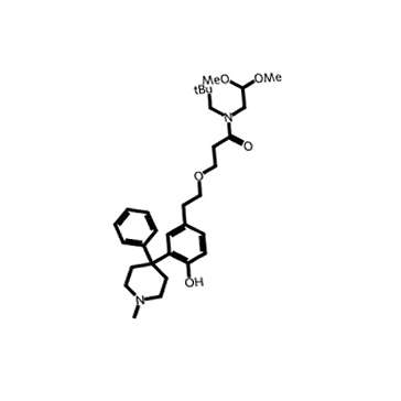 COC(CN(CC(C)(C)C)C(=O)CCOCCc1ccc(O)c(C2(c3ccccc3)CCN(C)CC2)c1)OC